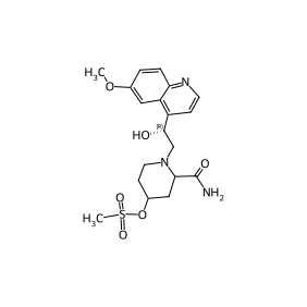 COc1ccc2nccc([C@@H](O)CN3CCC(OS(C)(=O)=O)CC3C(N)=O)c2c1